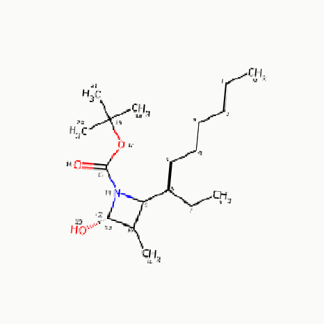 CCCCCCC(CC)C1C(C)[C@H](O)N1C(=O)OC(C)(C)C